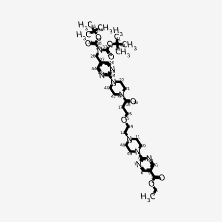 CCOC(=O)c1cnc(N2CCN(CCOCCC(=O)N3CCN(c4ncc(CN(C(=O)OC(C)(C)C)C(=O)OC(C)(C)C)cn4)CC3)CC2)nc1